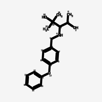 CC(O)C(NCc1ccc(Oc2ccccc2)cc1)C(C)(C)O